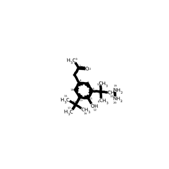 CC(=O)Cc1cc(C(C)(C)C)c(O)c(C(C)(C)C)c1.NN